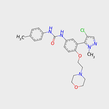 Cc1ccc(NC(=O)Nc2ccc(OCCN3CCOCC3)c(-c3c(Cl)cnn3C)c2)cc1